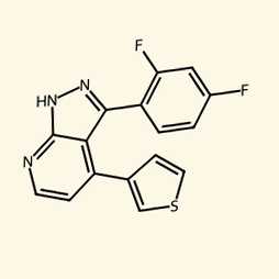 Fc1ccc(-c2n[nH]c3nccc(-c4ccsc4)c23)c(F)c1